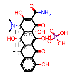 C[C@H]1c2cccc(O)c2C(=O)C2=C(O)[C@]3(O)C(=O)C(C(N)=O)=C(O)[C@@H](N(C)C)[C@@H]3[C@@H](O)[C@@H]21.O=P(O)(O)O